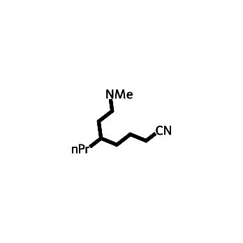 CCCC(CCCC#N)CCNC